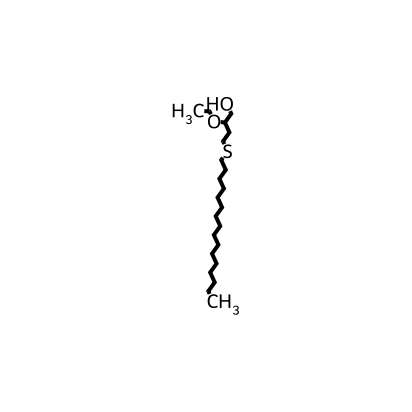 CCCCCCCCCCCCCCCCSCCC(CO)OCC